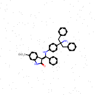 CCOC(=O)c1ccc2c(c1)NC(=O)/C2=C(/Nc1ccc(C(N)(Cc2ccccc2)Cc2ccccc2)cc1)c1ccccc1